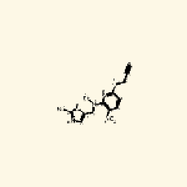 C#CCOc1ccc([N+](=O)[O-])c(N(CC)Cc2cnc(Br)s2)n1